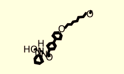 COCCCCCCCCOc1ccc(-c2ccc(C(=O)N3NN(O)c4ccccc43)cc2)cc1